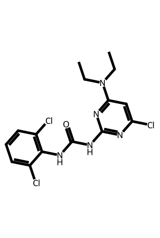 CCN(CC)c1cc(Cl)nc(NC(=O)Nc2c(Cl)cccc2Cl)n1